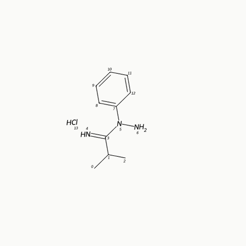 CC(C)C(=N)N(N)c1ccccc1.Cl